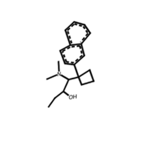 CCC(O)C(N(C)C)C1(c2ccc3ccccc3c2)CCC1